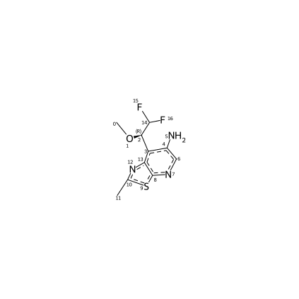 CO[C@H](c1c(N)cnc2sc(C)nc12)C(F)F